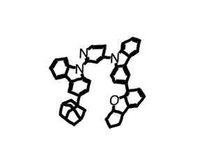 c1cc(-c2ccc3c(c2)c2ccccc2n3-c2ccnc(-n3c4ccccc4c4cc(C56CC7CC(CC(C7)C5)C6)ccc43)c2)c2c(c1)C1CCCC1O2